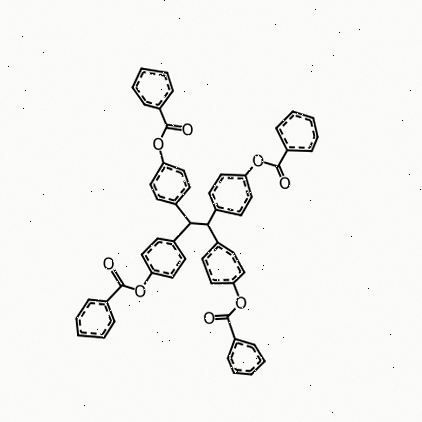 O=C(Oc1ccc(C(c2ccc(OC(=O)c3ccccc3)cc2)C(c2ccc(OC(=O)c3ccccc3)cc2)c2ccc(OC(=O)c3ccccc3)cc2)cc1)c1ccccc1